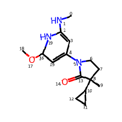 CNC1=CC(N2CCC(C)(C3CC3)C2=O)=CC(OC)N1